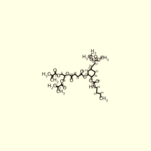 C=C(C)C(=O)OCC(COC(=O)C(=C)C)OC(=O)CCC(=O)OC1CC(CC[Si](OC)(OC)OC)CCC1OC(=O)NCCCC